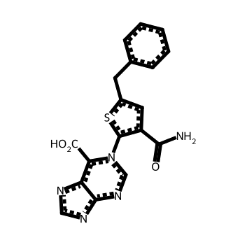 NC(=O)c1cc(Cc2ccccc2)sc1-n1cnc2ncnc-2c1C(=O)O